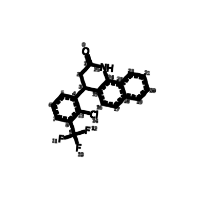 O=C1CC(c2cccc(C(F)(F)F)c2Cl)c2ccc3ccccc3c2N1